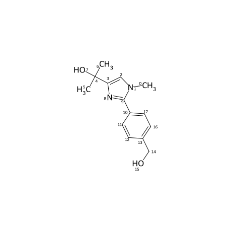 Cn1cc(C(C)(C)O)nc1-c1ccc(CO)cc1